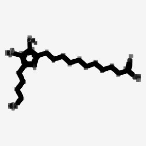 CCCCCc1oc(CCCCCCCCCCC(=O)O)c(C)c1C